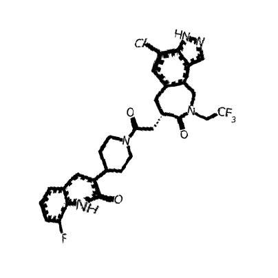 O=C(C[C@@H]1Cc2cc(Cl)c3[nH]ncc3c2CN(CC(F)(F)F)C1=O)N1CCC(c2cc3cccc(F)c3[nH]c2=O)CC1